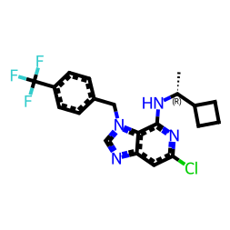 C[C@@H](Nc1nc(Cl)cc2ncn(Cc3ccc(C(F)(F)F)cc3)c12)C1CCC1